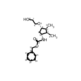 C[C@@H]1[C@H](C)[C@@H](OCCO)C[C@H]1NC(=O)OCc1ccccc1